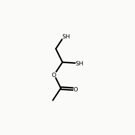 CC(=O)OC(S)CS